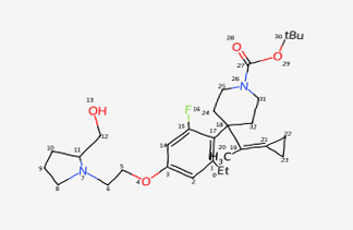 CCc1cc(OCCN2CCCC2CO)cc(F)c1C1(C(C)=C2CC2)CCN(C(=O)OC(C)(C)C)CC1